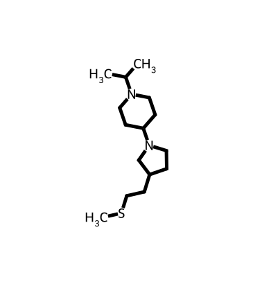 CSCCC1CCN(C2CCN(C(C)C)CC2)C1